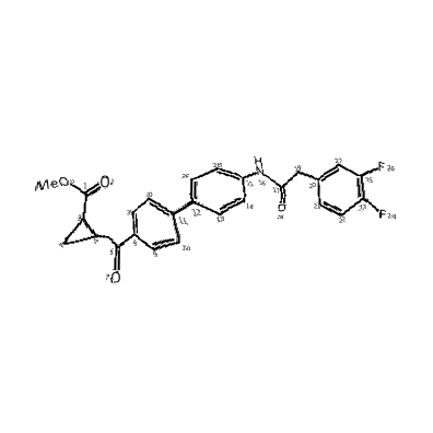 COC(=O)C1CC1C(=O)c1ccc(-c2ccc(NC(=O)Cc3ccc(F)c(F)c3)cc2)cc1